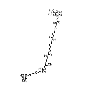 COP(=O)(O)OCCOCCOCCOP(=O)(O)OCC(CO)CCCCNC(=O)COCCOCCNC(=O)COCCOCCNC(=O)CC[C@@H](NC(=O)C(C)C)C(=O)O